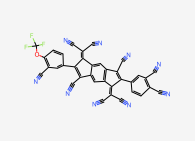 N#CC(C#N)=C1C(c2ccc(C#N)c(C#N)c2)=C(C#N)c2cc3c(cc21)C(C#N)=C(c1ccc(OC(F)(F)F)c(C#N)c1)C3=C(C#N)C#N